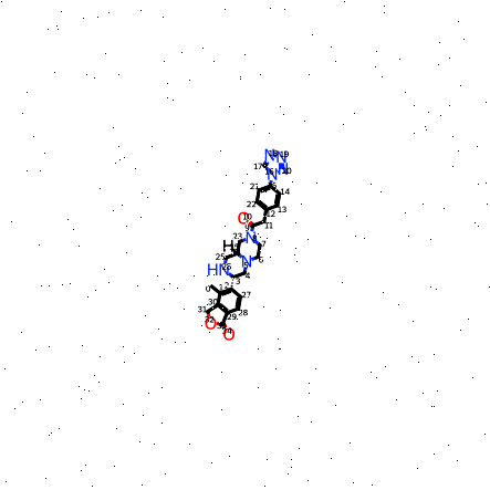 Cc1c([C@H]2CN3CCN(C(=O)Cc4ccc(-n5cnnn5)cc4)C[C@H]3CN2)ccc2c1COC2=O